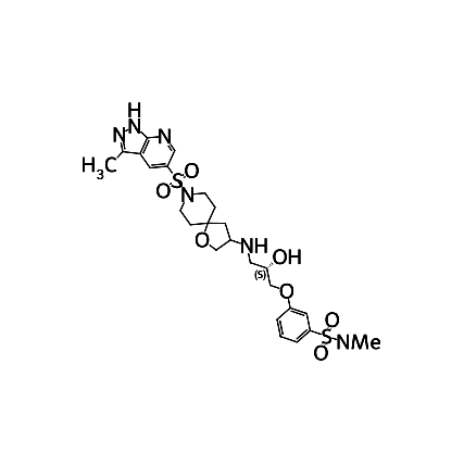 CNS(=O)(=O)c1cccc(OC[C@@H](O)CNC2COC3(CCN(S(=O)(=O)c4cnc5[nH]nc(C)c5c4)CC3)C2)c1